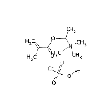 C=C(C)C(=O)OC(C)[N+](C)(C)C.CCOS(=O)(=O)[O-]